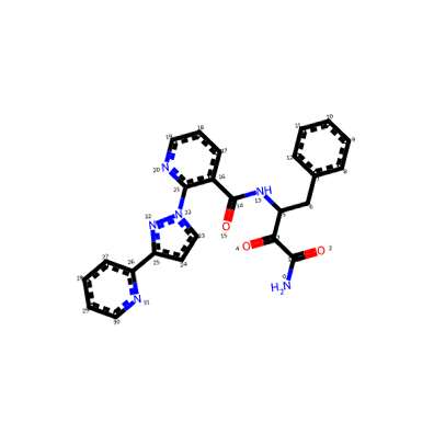 NC(=O)C(=O)C(Cc1ccccc1)NC(=O)c1cccnc1-n1ccc(-c2ccccn2)n1